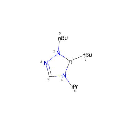 CCCCN1N=CN(C(C)C)C1C(C)(C)C